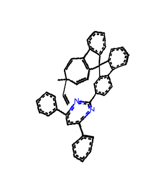 C=CC1(C)C=CC2=C(C=C1)C1(c3ccccc32)c2ccccc2-c2ccc(-c3nc(-c4ccccc4)cc(-c4ccccc4)n3)cc21